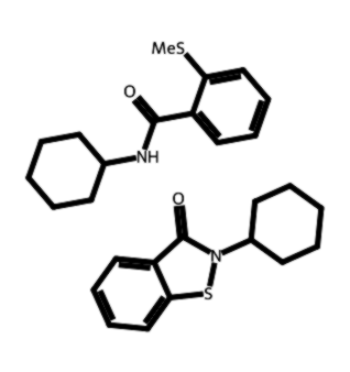 CSc1ccccc1C(=O)NC1CCCCC1.O=c1c2ccccc2sn1C1CCCCC1